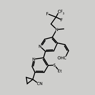 CCSc1cc(C2(C#N)CC2)cnc1-c1cc(/C=C\C=O)c(N(C)CC(F)(F)C(F)(F)F)cn1